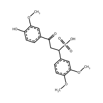 COc1cc(C(=O)CC(c2ccc(OC)c(OC)c2)S(=O)(=O)O)ccc1O